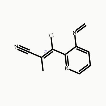 C=Nc1cccnc1/C(Cl)=C(\C)C#N